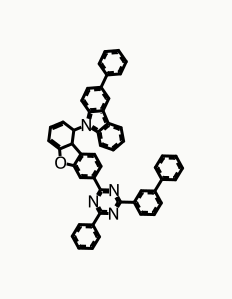 C1=CC(n2c3ccccc3c3cc(-c4ccccc4)ccc32)C2C(=C1)Oc1cc(-c3nc(-c4ccccc4)nc(-c4cccc(-c5ccccc5)c4)n3)ccc12